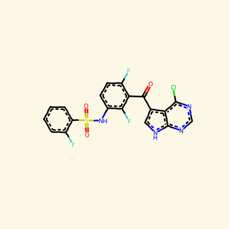 O=C(c1c(F)ccc(NS(=O)(=O)c2ccccc2F)c1F)c1c[nH]c2ncnc(Cl)c12